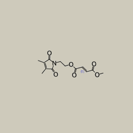 COC(=O)/C=C/C(=O)OCCN1C(=O)C(C)=C(C)C1=O